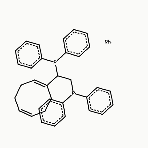 C1=CCCC(C(CP(c2ccccc2)c2ccccc2)P(c2ccccc2)c2ccccc2)=CCC1.[Rh]